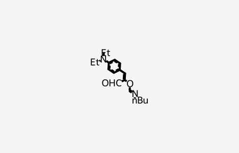 CCCC/N=C/O/C(C=O)=C/c1ccc(N(CC)CC)cc1